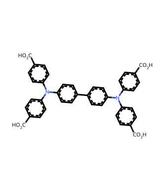 O=C(O)c1ccc(N(c2ccc(C(=O)O)cc2)c2ccc(-c3ccc(N(c4ccc(C(=O)O)cc4)c4ccc(C(=O)O)cc4)cc3)cc2)cc1